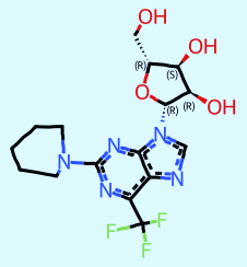 OC[C@H]1O[C@@H](n2cnc3c(C(F)(F)F)nc(N4CCCCC4)nc32)[C@H](O)[C@@H]1O